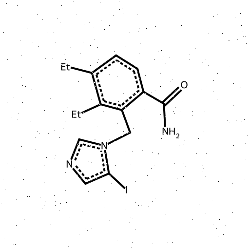 CCc1ccc(C(N)=O)c(Cn2cncc2I)c1CC